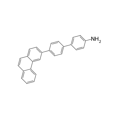 Nc1ccc(-c2ccc(-c3ccc4ccc5ccccc5c4c3)cc2)cc1